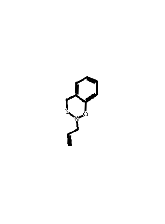 C=CCN1Oc2ccccc2CS1